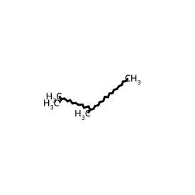 CCCCCCCCCCCCCCCCC(C)CCCCCCCCCC(C)CC